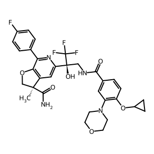 C[C@]1(C(N)=O)COc2c1cc([C@@](O)(CNC(=O)c1ccc(OC3CC3)c(N3CCOCC3)c1)C(F)(F)F)nc2-c1ccc(F)cc1